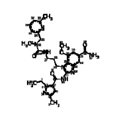 CCn1nc(C)cc1C(=O)Nc1nc2cc(C(N)=O)cc(OC)c2n1CCCNC(=O)N(C)Cc1cccc(C)n1